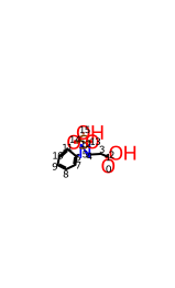 O=C(O)CCN(c1ccccc1)S(=O)(=O)O